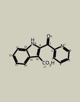 O=C(c1ccccn1)c1[nH]c2ccccc2c1C(=O)O